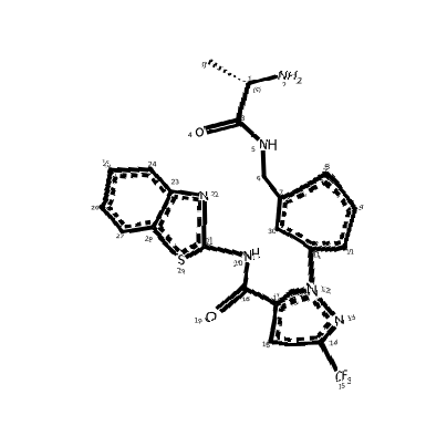 C[C@H](N)C(=O)NCc1cccc(-n2nc(C(F)(F)F)cc2C(=O)Nc2nc3ccccc3s2)c1